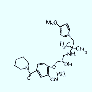 COc1ccc(CC(C)(C)NC[C@@H](O)COc2ccc(C(=O)N3CCCCC3)cc2C#N)cc1.Cl